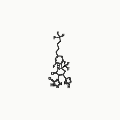 O=C1N[C@@](c2ccc(CCCCC(F)(F)F)cc2F)(C(F)(F)F)CC(c2cc[nH]n2)=C1n1nn[nH]c1=O